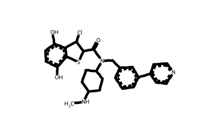 CNC1CCC(N(Cc2cccc(-c3ccncc3)c2)C(=O)C2Sc3c(O)ccc(O)c3C2Cl)CC1